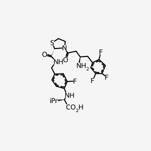 CC(C)[C@@H](Nc1ccc(CNC(=O)[C@@H]2SCCN2C(=O)C[C@H](N)Cc2cc(F)c(F)cc2F)cc1F)C(=O)O